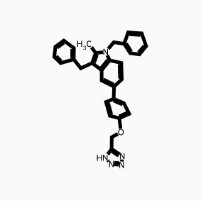 Cc1c(Cc2ccccc2)c2cc(-c3ccc(OCc4nnn[nH]4)cc3)ccc2n1Cc1ccccc1